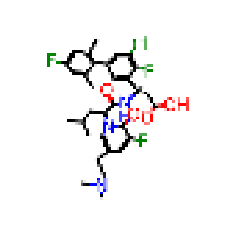 Cc1cc(F)cc(C)c1-c1cc(Cl)c(F)c([C@H](CC(=O)O)NC(=O)C(CC(C)C)n2cc(CCN(C)C)cc(F)c2=O)c1